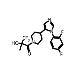 CC(O)(C(=O)N1CCC(c2cncn2-c2ccc(F)cc2F)CC1)C(F)(F)F